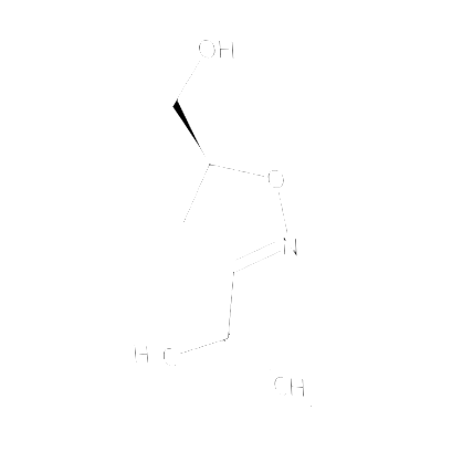 C=C(C)C1=NO[C@H](CO)C1